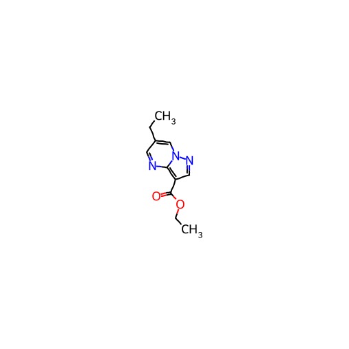 CCOC(=O)c1cnn2cc(CC)cnc12